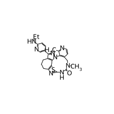 CCNc1ccc(-c2nn3c4c2CCCc2nc(sc2-4)NC(=O)N(C)Cc2ccnc(C)c2-3)cn1